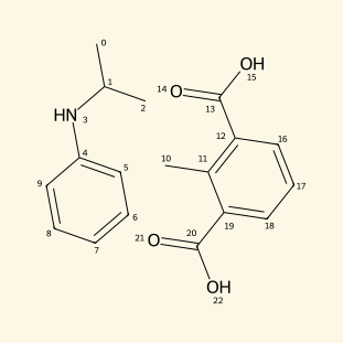 CC(C)Nc1ccccc1.Cc1c(C(=O)O)cccc1C(=O)O